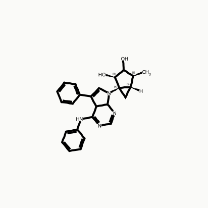 C[C@@H]1C(O)[C@H](O)[C@@]2(N3C=C(c4ccccc4)C4C(Nc5ccccc5)=NC=NC43)C[C@@H]12